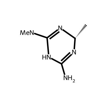 CNC1=N[C@H](C)N=C(N)N1